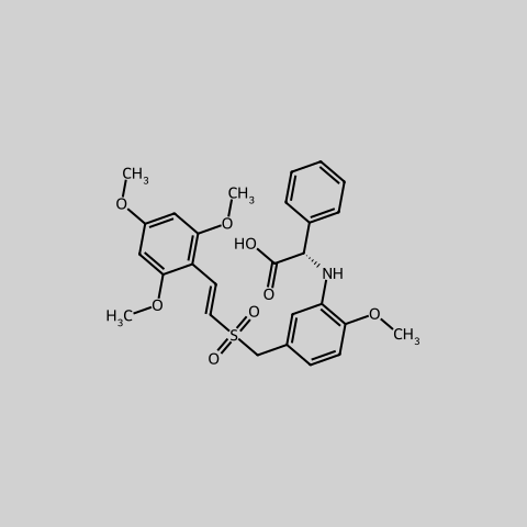 COc1cc(OC)c(C=CS(=O)(=O)Cc2ccc(OC)c(N[C@H](C(=O)O)c3ccccc3)c2)c(OC)c1